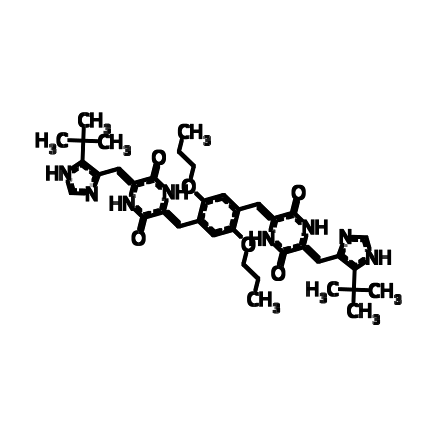 CCCOc1cc(/C=c2\[nH]c(=O)/c(=C/c3nc[nH]c3C(C)(C)C)[nH]c2=O)c(OCCC)cc1/C=c1\[nH]c(=O)/c(=C/c2nc[nH]c2C(C)(C)C)[nH]c1=O